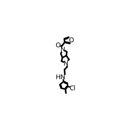 Cc1ccc(NCCCN2CC3CN(C(=O)c4ccoc4)CC3C2)cc1Cl